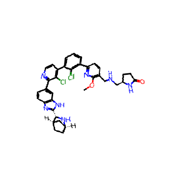 COc1nc(-c2cccc(-c3ccnc(-c4ccc5nc([C@@H]6N[C@H]7CC[C@@H]6C7)[nH]c5c4)c3Cl)c2Cl)ccc1CNC[C@H]1CCC(=O)N1